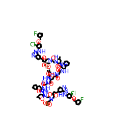 CC(C)CC(NC(=O)C(Cc1ccccc1)NC(=O)CNC(=O)CCC(NC(=O)OC(C)(C)C)C(=O)NCC(=O)NC(Cc1ccccc1)C(=O)NC(CC(C)C)C(=O)NCC(=O)N(CCS(C)(=O)=O)Cc1ccc(-c2ccc3ncnc(Nc4ccc(OCc5cccc(F)c5)c(Cl)c4)c3c2)o1)C(=O)NCC(=O)N(CCS(C)(=O)=O)Cc1ccc(-c2ccc3ncnc(Nc4ccc(OCc5cccc(F)c5)c(Cl)c4)c3c2)o1